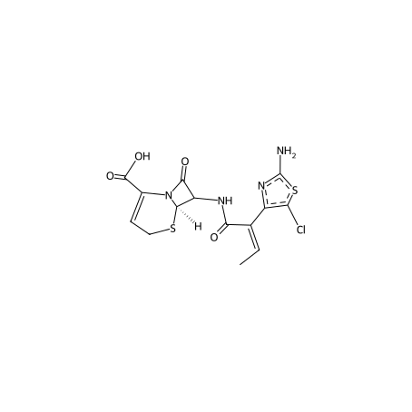 C/C=C(\C(=O)NC1C(=O)N2C(C(=O)O)=CCS[C@H]12)c1nc(N)sc1Cl